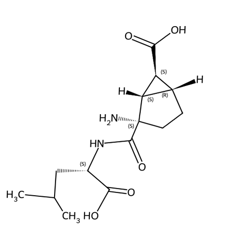 CC(C)C[C@H](NC(=O)[C@]1(N)CC[C@H]2[C@H](C(=O)O)[C@H]21)C(=O)O